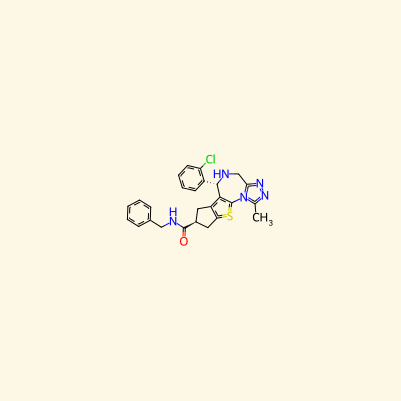 Cc1nnc2n1-c1sc3c(c1[C@H](c1ccccc1Cl)NC2)C[C@H](C(=O)NCc1ccccc1)C3